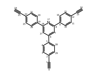 C#Cc1ccc(-c2cc(-c3ccc(C#C)cc3)nc(-c3ccc(C#C)cc3)c2)cc1